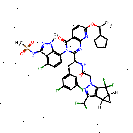 C[C@H](Oc1ccc2c(=O)n(-c3ccc(Cl)c4c(NS(C)(=O)=O)nn(C)c34)c([C@H](Cc3cc(F)cc(F)c3)NC(=O)Cn3nc(C(F)F)c4c3C(F)(F)[C@@H]3C[C@H]43)nc2n1)C1CCCC1